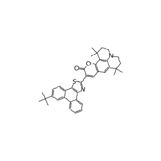 CC(C)(C)c1ccc2c(c1)c1ccccc1c1nc(-c3cc4cc5c6c(c4oc3=O)C(C)(C)CCN6CCC5(C)C)sc21